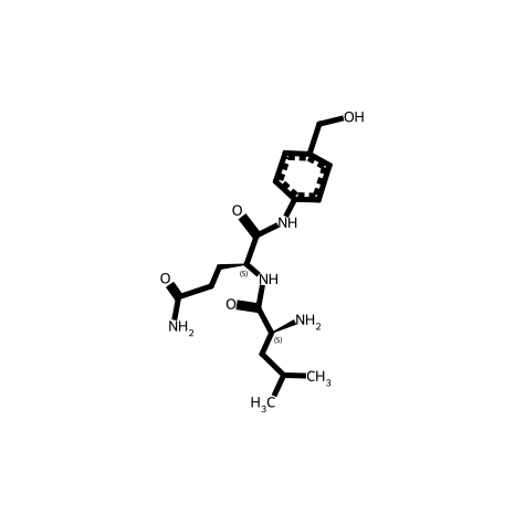 CC(C)C[C@H](N)C(=O)N[C@@H](CCC(N)=O)C(=O)Nc1ccc(CO)cc1